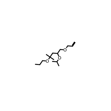 C=CCOCC(CC(C)(C)OCCC)OC(C)C